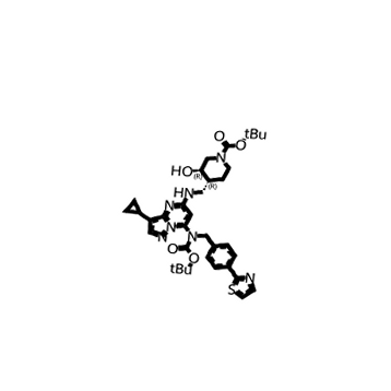 CC(C)(C)OC(=O)N1CC[C@H](CNc2cc(N(Cc3ccc(-c4nccs4)cc3)C(=O)OC(C)(C)C)n3ncc(C4CC4)c3n2)[C@@H](O)C1